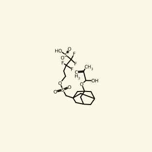 C=C(C)C(O)OC12CC3CC(CC(CS(=O)(=O)OCCC(F)(F)C(F)(F)S(=O)(=O)O)(C3)C1)C2